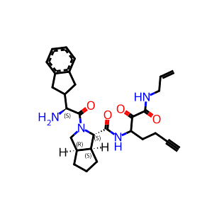 C#CCCC(NC(=O)[C@@H]1[C@H]2CCC[C@H]2CN1C(=O)[C@@H](N)C1Cc2ccccc2C1)C(=O)C(=O)NCC=C